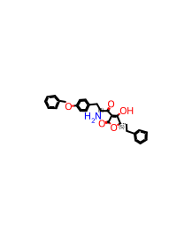 N[C@H](Cc1ccc(OCc2ccccc2)cc1)C(=O)C1=C(O)[C@H](CCc2ccccc2)OC1=O